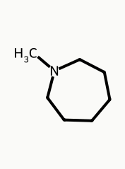 CN1CCCCCC1